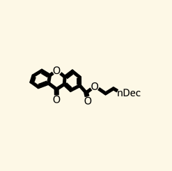 CCCCCCCCCCCCOC(=O)c1ccc2oc3ccccc3c(=O)c2c1